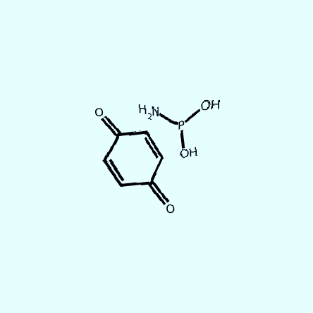 NP(O)O.O=C1C=CC(=O)C=C1